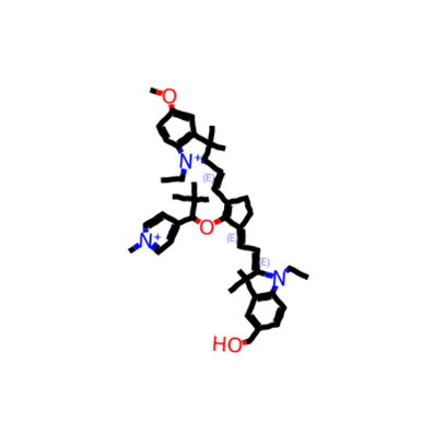 CCN1/C(=C/C=C2\CCC(/C=C/C3=[N+](CC)c4ccc(OC)cc4C3(C)C)=C2OC(c2cc[n+](C)cc2)C(C)(C)C)C(C)(C)c2cc(CO)ccc21